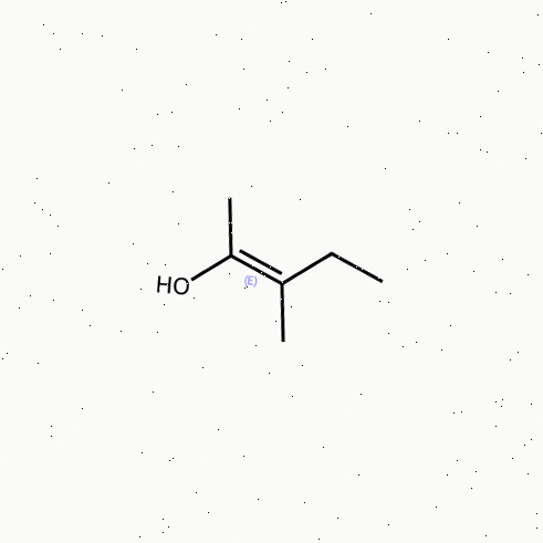 CC/C(C)=C(\C)O